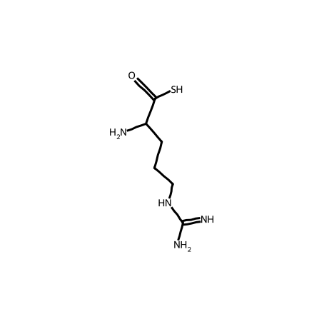 N=C(N)NCCCC(N)C(=O)S